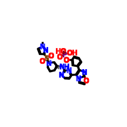 Cn1ccc(S(=O)(=O)N2CCC[C@@H](Nc3nccc(-c4c(-c5cccc(OP(=O)(O)O)c5)nc5occn45)n3)C2)n1